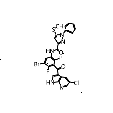 CSc1cc(C(=O)Nc2cc(Br)c(F)c(C(=O)c3c[nH]c4ncc(Cl)cc34)c2F)nn1-c1ccccc1